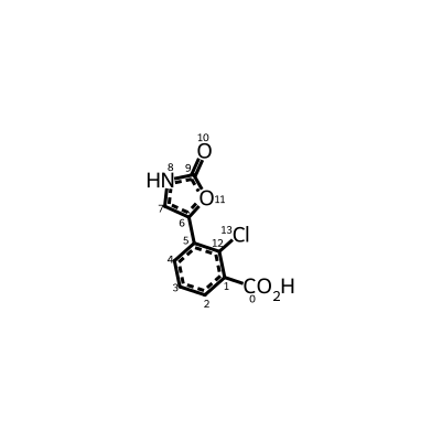 O=C(O)c1cccc(-c2c[nH]c(=O)o2)c1Cl